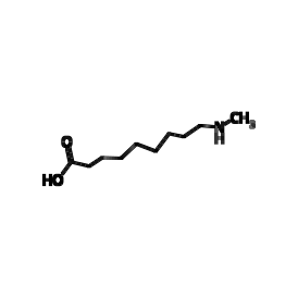 CNCCCCCCCCC(=O)O